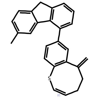 C=C1CC/C=C\Sc2ccc(-c3cccc4c3-c3cc(C)ccc3C4)cc21